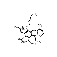 CCCCCSc1c(OC(C)C)c2c(c(OC(C)C)c1Sc1ccccc1N)C(=N)NC2=N